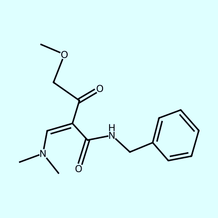 COCC(=O)/C(=C/N(C)C)C(=O)NCc1ccccc1